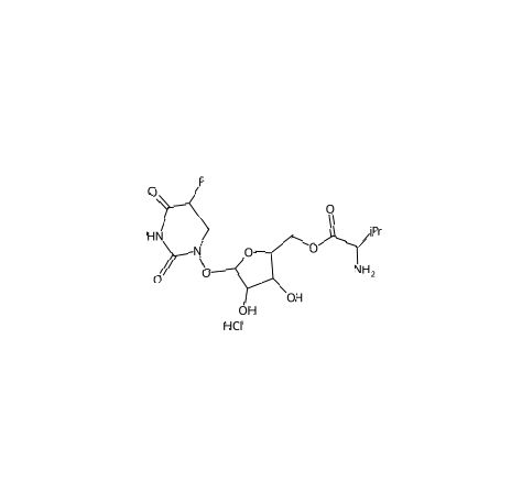 CC(C)C(N)C(=O)OCC1OC(ON2CC(F)C(=O)NC2=O)C(O)C1O.Cl